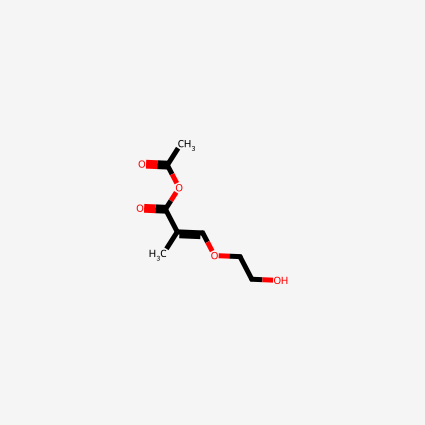 CC(=O)OC(=O)C(C)=COCCO